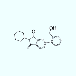 C=C1c2ccc(-c3ccccc3CO)cc2C(=O)C1C1CCCCC1